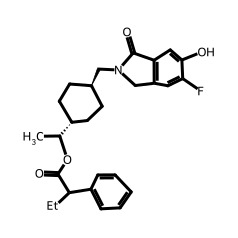 CCC(C(=O)OC(C)[C@H]1CC[C@H](CN2Cc3cc(F)c(O)cc3C2=O)CC1)c1ccccc1